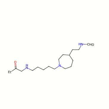 CCC(=O)CNCCCCCN1CCCC(CCNC=O)CC1